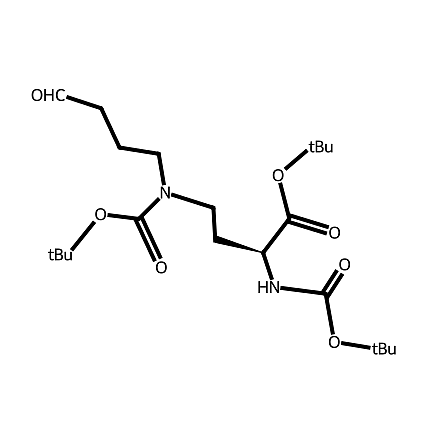 CC(C)(C)OC(=O)N[C@@H](CCN(CCCC=O)C(=O)OC(C)(C)C)C(=O)OC(C)(C)C